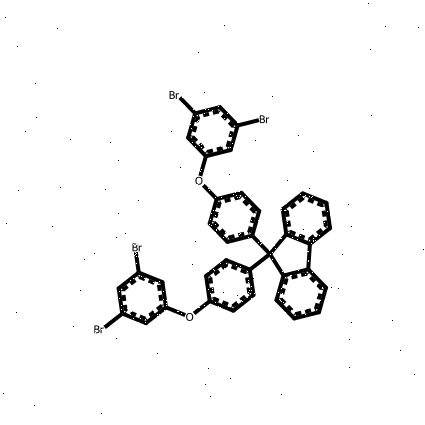 Brc1cc(Br)cc(Oc2ccc(C3(c4ccc(Oc5cc(Br)cc(Br)c5)cc4)c4ccccc4-c4ccccc43)cc2)c1